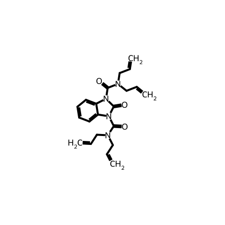 C=CCN(CC=C)C(=O)n1c(=O)n(C(=O)N(CC=C)CC=C)c2ccccc21